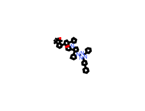 CC1(C)c2cccc(-c3ccc(-c4ccccc4-n4c5ccccc5c5c6c7ccccc7n(-c7nc(-c8ccccc8)nc(-c8ccc(-c9ccccc9)cc8)n7)c6ccc54)cc3)c2C(C)(C)C1(C)C